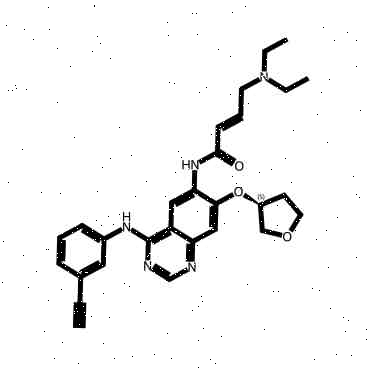 C#Cc1cccc(Nc2ncnc3cc(O[C@H]4CCOC4)c(NC(=O)C=CCN(CC)CC)cc23)c1